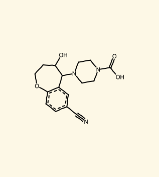 N#Cc1ccc2c(c1)C(N1CCN(C(=O)O)CC1)C(O)CCO2